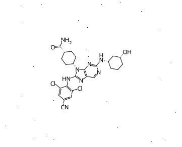 N#Cc1cc(Cl)c(Nc2nc3cnc(N[C@H]4CCC[C@@H](O)C4)nc3n2[C@H]2CC[C@@H](C(N)=O)CC2)c(Cl)c1